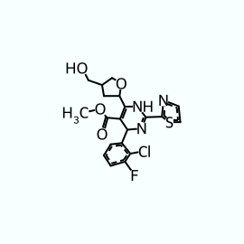 COC(=O)C1=C(C2CC(CO)CO2)NC(c2nccs2)=NC1c1cccc(F)c1Cl